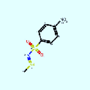 C[SH]=NS(=O)(=O)c1ccc([N+](=O)[O-])cc1